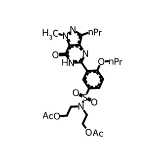 CCCOc1ccc(S(=O)(=O)N(CCOC(C)=O)CCOC(C)=O)cc1-c1nc2c(CCC)nn(C)c2c(=O)[nH]1